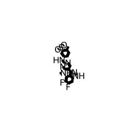 CNc1nc(Nc2ccc(C)c(S(C)(=O)=O)c2)ncc1-c1n[nH]c2cc(F)c(F)cc12